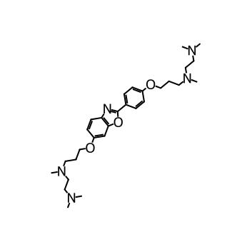 CN(C)CCN(C)CCCOc1ccc(-c2nc3ccc(OCCCN(C)CCN(C)C)cc3o2)cc1